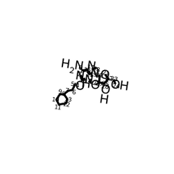 Nc1nc(OCCCC2CCCCC2)nc2c1ncn2[C@@H]1O[C@H](CO)[C@@H](O)[C@H]1O